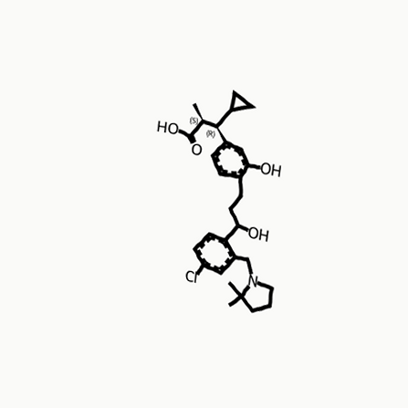 C[C@H](C(=O)O)[C@H](c1ccc(CCC(O)c2ccc(Cl)cc2CN2CCCC2(C)C)c(O)c1)C1CC1